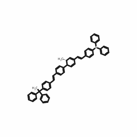 C[C@@H]1C=C(/C=C/c2ccc(N(c3ccccc3)c3ccccc3)cc2)C=CC1c1ccc(/C=C/c2ccc(C(C)(c3ccccc3)c3ccccc3)cc2)cc1